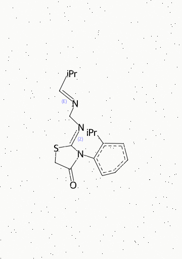 CC(C)/C=N/C/N=C1\SCC(=O)N1c1ccccc1C(C)C